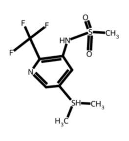 C[SH](C)c1cnc(C(F)(F)F)c(NS(C)(=O)=O)c1